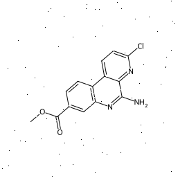 COC(=O)c1ccc2c(c1)nc(N)c1nc(Cl)ccc12